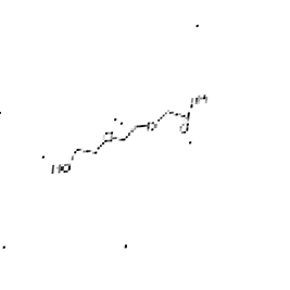 CCCC(=O)COCCOCCO